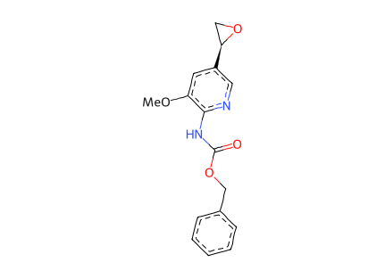 COc1cc([C@H]2CO2)cnc1NC(=O)OCc1ccccc1